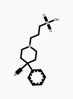 N#CC1(c2ccccc2)CCN(CCCS(=O)(=O)O)CC1